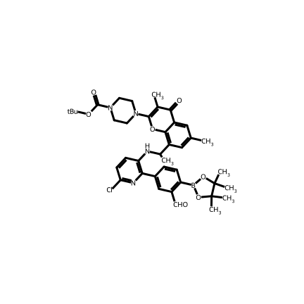 Cc1cc(C(C)Nc2ccc(Cl)nc2-c2ccc(B3OC(C)(C)C(C)(C)O3)c(C=O)c2)c2oc(N3CCN(C(=O)OC(C)(C)C)CC3)c(C)c(=O)c2c1